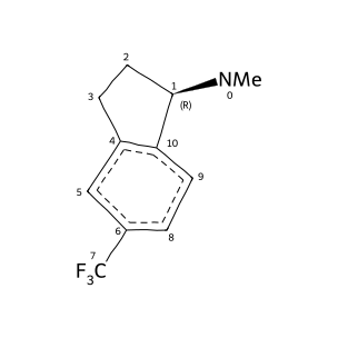 CN[C@@H]1CCc2cc(C(F)(F)F)ccc21